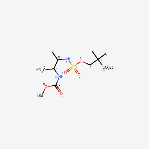 CCOC(=O)C(C)(C)COS(=O)(=O)NC(C)C(NC(=O)OC(C)(C)C)C(=O)O